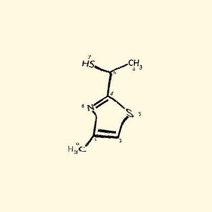 Cc1csc(C(C)S)n1